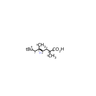 C/C(=C\CC(C)C(=O)O)CC(C)(C)C